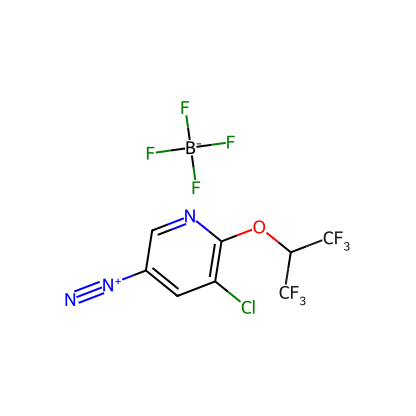 F[B-](F)(F)F.N#[N+]c1cnc(OC(C(F)(F)F)C(F)(F)F)c(Cl)c1